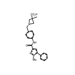 CC1(C(=O)O)CN(Cc2ccc(NC(=O)c3cc(-c4ccccc4)n(C(C)(C)C)n3)cc2)C1